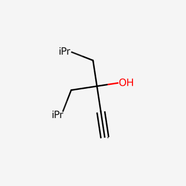 [C]#CC(O)(CC(C)C)CC(C)C